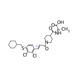 C[C@H](NC(=O)C1CCN(C(=O)/C=C/c2ccc(SCC3CCCCC3)c(Cl)c2Cl)CC1)C(=O)O